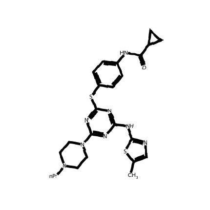 CCCN1CCN(c2nc(Nc3ncc(C)s3)nc(Sc3ccc(NC(=O)C4CC4)cc3)n2)CC1